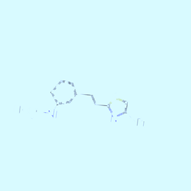 CC(C)c1csc(C=Cc2cccc(NC(=O)O)c2)n1